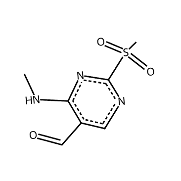 CNc1nc(S(C)(=O)=O)ncc1C=O